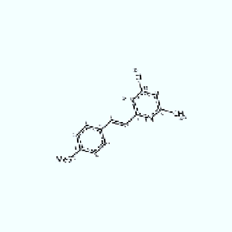 CSc1ccc(C=Cc2nc(C)cc(Cl)n2)cc1